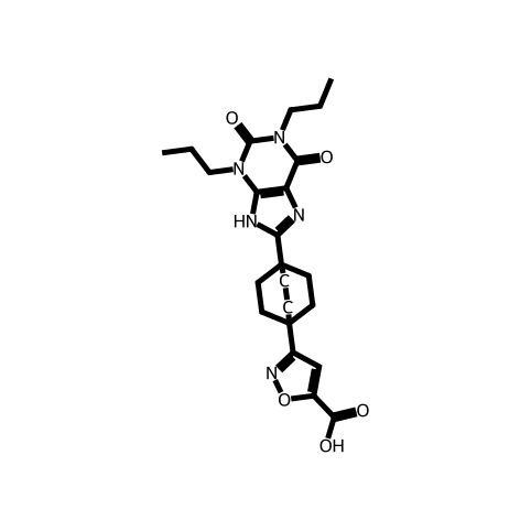 CCCn1c(=O)c2nc(C34CCC(c5cc(C(=O)O)on5)(CC3)CC4)[nH]c2n(CCC)c1=O